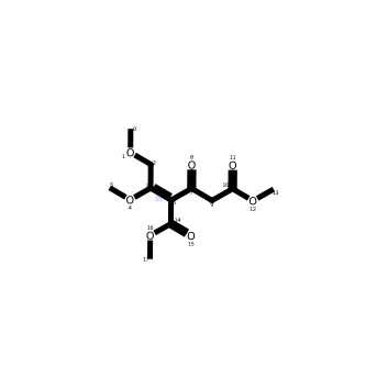 COC/C(OC)=C(\C(=O)CC(=O)OC)C(=O)OC